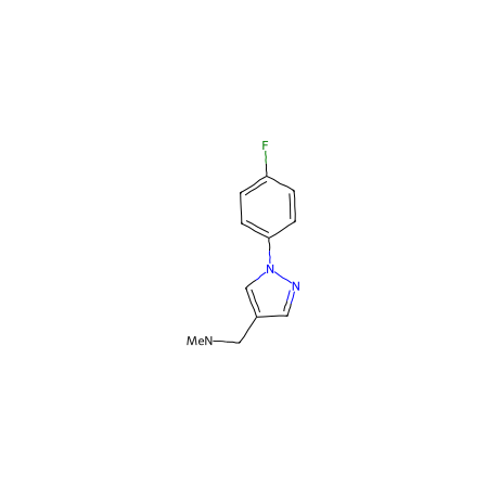 CNCc1cnn(-c2ccc(F)cc2)c1